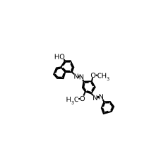 COc1cc(N=Nc2ccc(O)c3ccccc23)c(OC)cc1N=Nc1ccccc1